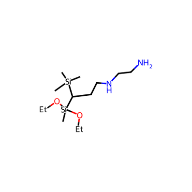 CCO[Si](C)(OCC)C(CCNCCN)[Si](C)(C)C